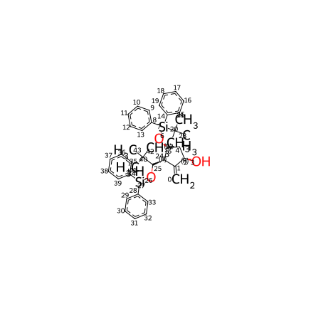 C=C1[C@H](O)C[C@H](O[Si](c2ccccc2)(c2ccccc2)C(C)(C)C)[C@@H]1C(O[SiH](c1ccccc1)c1ccccc1)C(C)(C)C